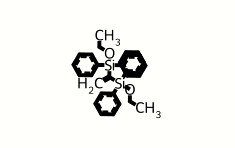 C=C([Si](OCC)(c1ccccc1)c1ccccc1)[Si](OCC)(c1ccccc1)c1ccccc1